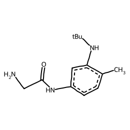 Cc1ccc(NC(=O)CN)cc1NC(C)(C)C